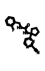 N#Cc1nccc(C2(NC(=O)NCc3ccccc3F)CCCC2)n1